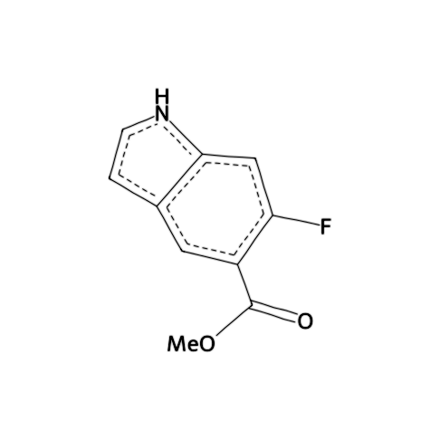 COC(=O)c1cc2cc[nH]c2cc1F